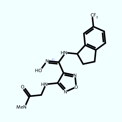 CNC(=O)CNc1nonc1/C(=N\O)NC1CCc2ccc(C(F)(F)F)cc21